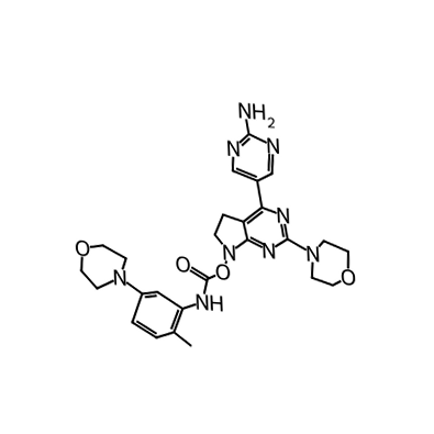 Cc1ccc(N2CCOCC2)cc1NC(=O)ON1CCc2c(-c3cnc(N)nc3)nc(N3CCOCC3)nc21